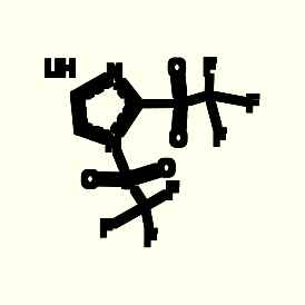 O=S(=O)(c1nccn1S(=O)(=O)C(F)(F)F)C(F)(F)F.[LiH]